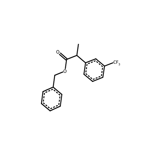 CC(C(=O)OCc1ccccc1)c1cccc(C(F)(F)F)c1